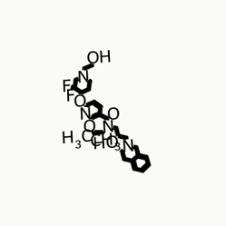 CC1(C)CN(CC(O)CN2CCc3ccccc3C2)C(=O)c2ccc(OC3CCN(CCO)CC3(F)F)nc2O1